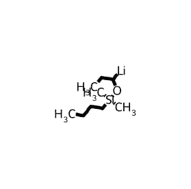 [Li][CH](CC)O[Si](C)(C)CCCC